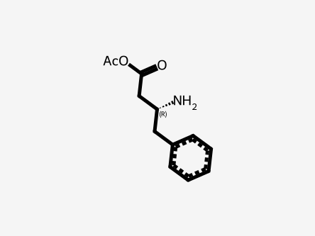 CC(=O)OC(=O)C[C@H](N)Cc1ccccc1